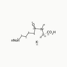 CCCCCCCCCCCCCC(=O)N(C)[C@@H](C)C(=O)O.[K]